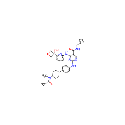 C=CCNC(=O)c1cnc(Nc2ccc(C3CCC(N(C)C(=O)C4CC4)CC3)cc2)nc1Nc1cccc(C2(O)COC2)n1